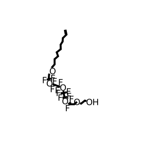 C=CCCCCCCCCCOCC(F)(F)OC(F)(F)C(F)(F)OC(F)(F)C(F)(F)OC(F)(F)COCCO